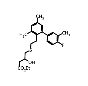 CCOC(=O)CC(O)CSCCc1c(C)cc(C)cc1-c1ccc(F)c(C)c1